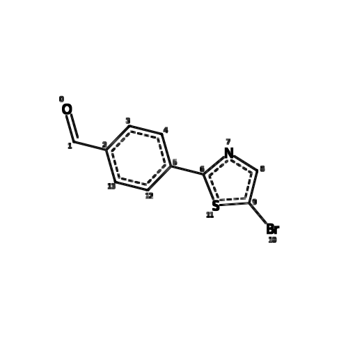 O=Cc1ccc(-c2ncc(Br)s2)cc1